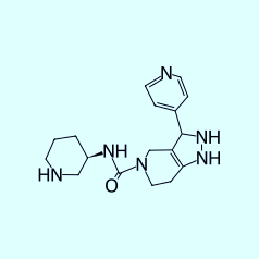 O=C(N[C@@H]1CCCNC1)N1CCC2=C(C1)C(c1ccncc1)NN2